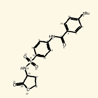 CC(C)(C)c1ccc(C(=O)Nc2ccc(S(=O)(=O)NC3CCOC3=O)cc2)cc1